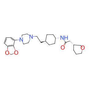 O=C(C[C@H]1CCCOC1)N[C@H]1CC[C@H](CCN2CCN(c3cccc4c3OCO4)CC2)CC1